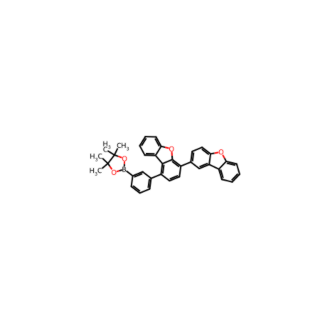 CC1(C)OB(c2cccc(-c3ccc(-c4ccc5oc6ccccc6c5c4)c4oc5ccccc5c34)c2)OC1(C)C